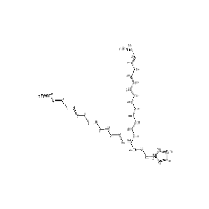 CCCCCC=CCC=CCCCCCCCCC(CCCCCCCCC=CCC=CCCCCC)OCCn1ccnc1